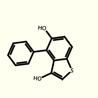 Oc1ccc2s[c]c(O)c2c1-c1ccccc1